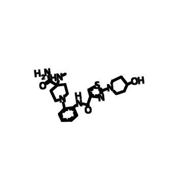 CNC1(C(N)=O)CCN(c2ccccc2NC(=O)c2csc(N3CCC(O)CC3)n2)CC1